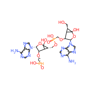 Nc1ncnc2c1ncn2[C@@H]1OC2(O)C(C1OCP(=O)(O)OC[C@@H]1C3C(OC[PH](=O)O)[C@H](n4cnc5c(N)ncnc54)OC31O)[C@H]2CO